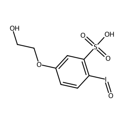 O=Ic1ccc(OCCO)cc1S(=O)(=O)O